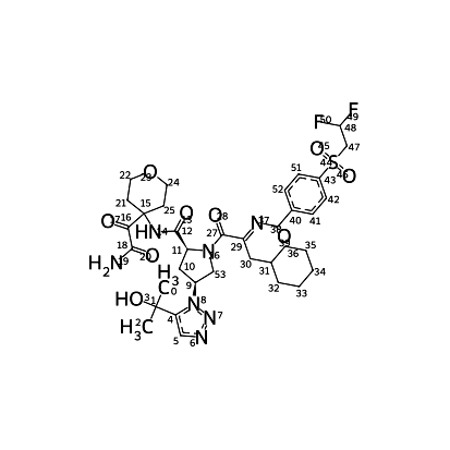 CC(C)(O)c1cnnn1[C@H]1C[C@@H](C(=O)NC2(C(=O)C(N)=O)CCOCC2)N(C(=O)/C(CC2CCCCC2)=N/C(=O)c2ccc(S(=O)(=O)CC(F)F)cc2)C1